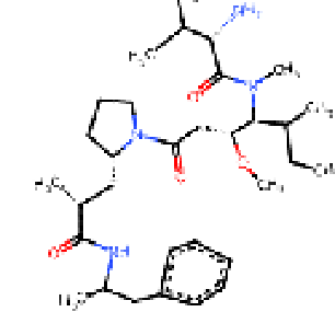 CCC(C)[C@@H]([C@@H](CC(=O)N1CCC[C@H]1C[C@@H](C)C(=O)N[C@H](C)Cc1ccccc1)OC)N(C)C(=O)[C@@H](N)C(C)C